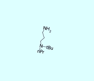 CCCN(CCCN)C(C)(C)C